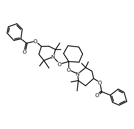 CC1(C)CC(OC(=O)c2ccccc2)CC(C)(C)N1OC1(ON2C(C)(C)CC(OC(=O)c3ccccc3)CC2(C)C)CCCCC1